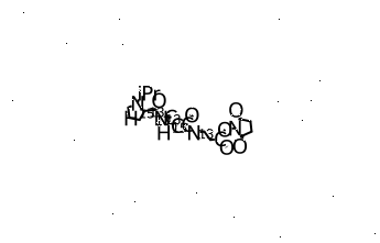 [13CH3][13CH]([13CH3])N1CCCC1C(=O)[15NH][13CH2][13CH2][13C](=O)[15NH]CC[13C](=O)ON1C(=O)CCC1=O